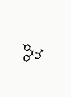 O=C(Cl)c1cccn2c(-c3ccccc3)c(-c3ccc(Cl)cc3)nc12